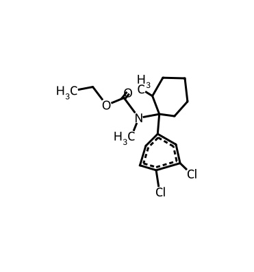 CCOC(=O)N(C)C1(c2ccc(Cl)c(Cl)c2)CCCCC1C